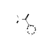 C=C(c1nnn[nH]1)[N+](=O)[O-]